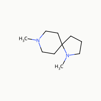 CN1CCC2(CCCN2C)CC1